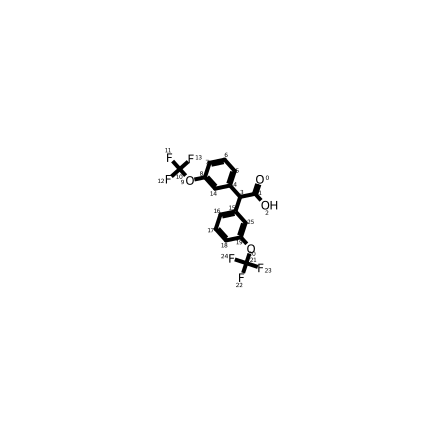 O=C(O)C(c1cccc(OC(F)(F)F)c1)c1cccc(OC(F)(F)F)c1